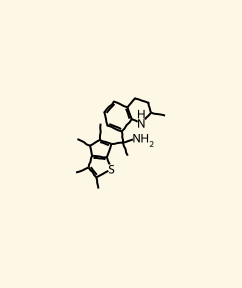 CC1=C(C(C)(N)c2cccc3c2NC(C)CC3)c2sc(C)c(C)c2C1C